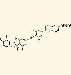 CCCCCc1ccc2cc(-c3cc(C)c(C#Cc4cc(F)c(C(F)(F)Oc5cc(F)c(F)c(F)c5)c(F)c4)c(F)c3)ccc2c1